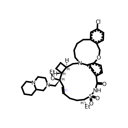 CCO[C@@]1(CN2CCN3CCCCC3C2)/C=C/CC[C@@H](CC)S(=O)(=O)NC(=O)c2ccc3c(c2)N(CCCCc2cc(Cl)ccc2CO3)C[C@@H]2CC[C@H]21